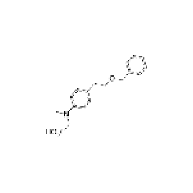 CN(CC(=O)O)c1ccc(CCOCc2ccccc2)cc1